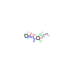 O=C(NC(=O)c1c(F)cccc1F)Nc1cc(Cl)c(OC(F)(F)C(F)C(F)(F)F)c(Cl)c1F